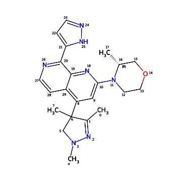 CC1=NN(C)CC1(C)c1cc(N2CCOC[C@H]2C)nc2c(-c3ccn[nH]3)nccc12